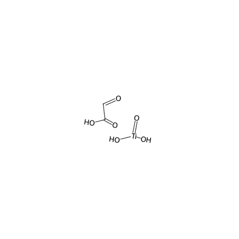 O=CC(=O)O.[O]=[Ti]([OH])[OH]